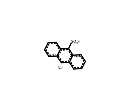 O=S(=O)(O)c1c2ccccc2cc2ccccc12.[Na]